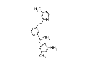 Cc1ccnc(CCc2cccc([C@H](N)Cc3cc(C)cc(N)n3)c2)c1